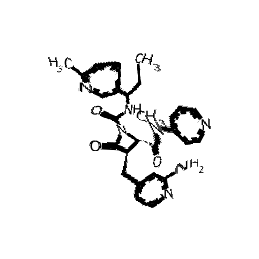 CCC(NC(=O)N1C(=O)[C@H](Cc2ccnc(N)c2)[C@H]1C(=O)N(C)c1ccncc1)c1ccc(C)nc1